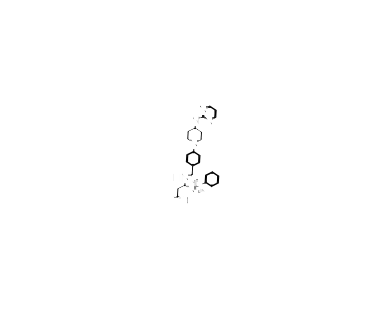 O=C(O)CC(NCc1ccc(N2CCC(Nc3ncccn3)CC2)cc1)NS(=O)(=O)c1ccccc1